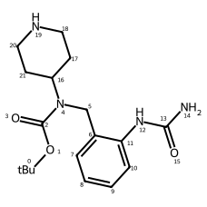 CC(C)(C)OC(=O)N(Cc1ccccc1NC(N)=O)C1CCNCC1